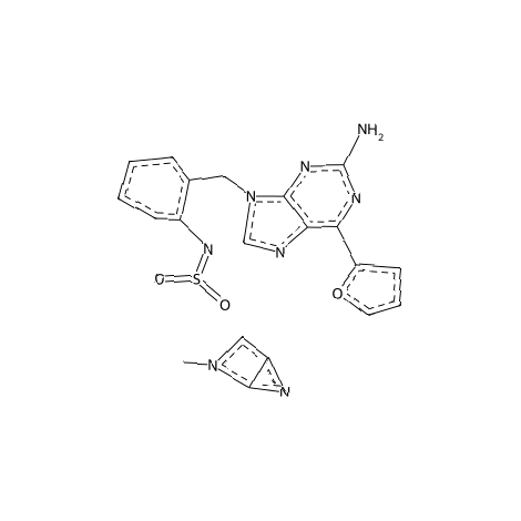 Cn1cc2nc1-2.Nc1nc(-c2ccco2)c2ncn(Cc3ccccc3N=S(=O)=O)c2n1